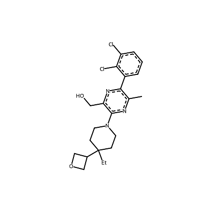 CCC1(C2COC2)CCN(c2nc(C)c(-c3cccc(Cl)c3Cl)nc2CO)CC1